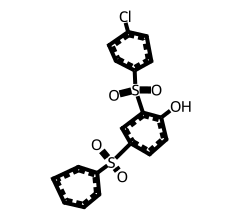 O=S(=O)(c1ccccc1)c1ccc(O)c(S(=O)(=O)c2ccc(Cl)cc2)c1